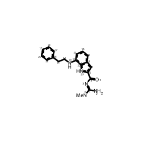 CNC(N)=NC(=O)c1cc2cccc(NCCc3ccccc3)c2[nH]1